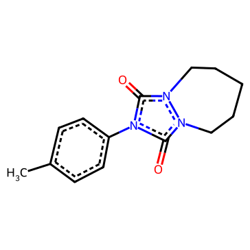 Cc1ccc(-n2c(=O)n3n(c2=O)CCCCC3)cc1